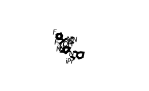 CC(C)CCN(CC1CCCCC1)c1ccc2c(cnn2[C@H](C)[C@](O)(Cn2cncn2)c2ccc(F)cc2F)c1